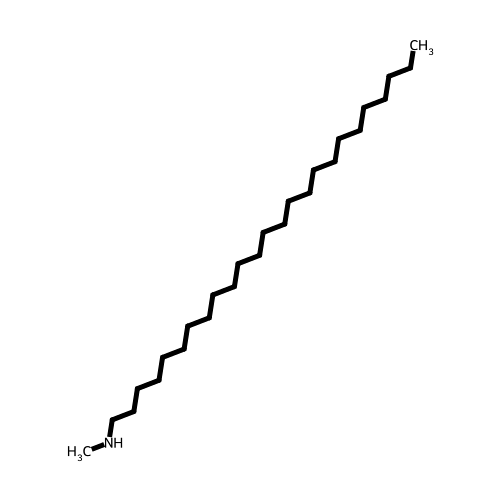 CCCCCCCCCCCCCCCCCCCCCCCCCNC